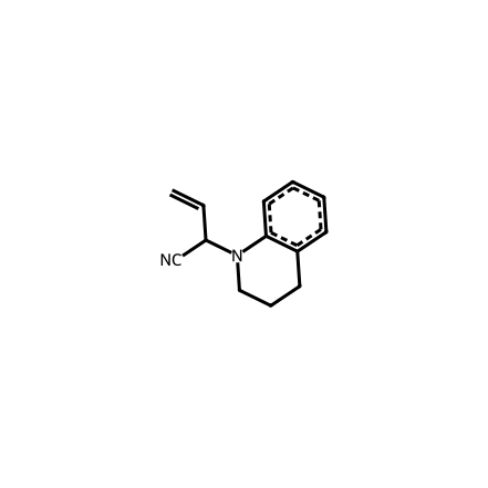 C=CC(C#N)N1CCCc2ccccc21